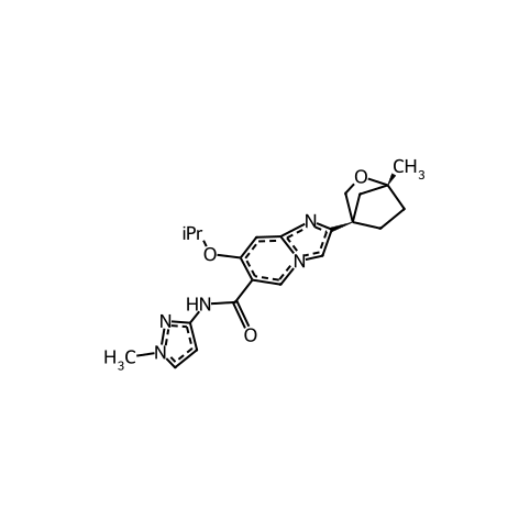 CC(C)Oc1cc2nc([C@]34CC[C@](C)(C3)OC4)cn2cc1C(=O)Nc1ccn(C)n1